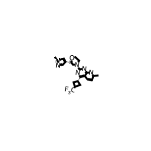 Cc1ccc2c(n1)nc(N1CCO[C@@H](c3cnn(C)c3)C1)nc2[C@H]1C[C@@H](C(F)(F)F)C1